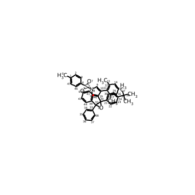 Cc1ccc(S(=O)(=O)n2cc(-c3c(C)cccc3C)c(C3(c4ccc(C(C)(C)C)cc4)OC3(c3ccccc3)c3ccccc3)c2)cc1